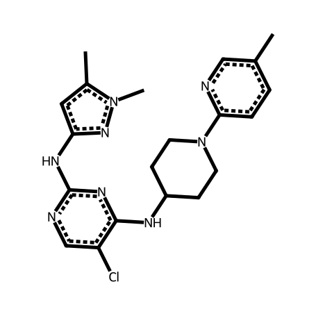 Cc1ccc(N2CCC(Nc3nc(Nc4cc(C)n(C)n4)ncc3Cl)CC2)nc1